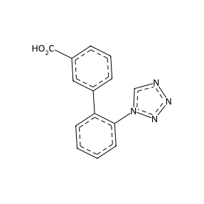 O=C(O)c1cccc(-c2ccccc2-n2cnnn2)c1